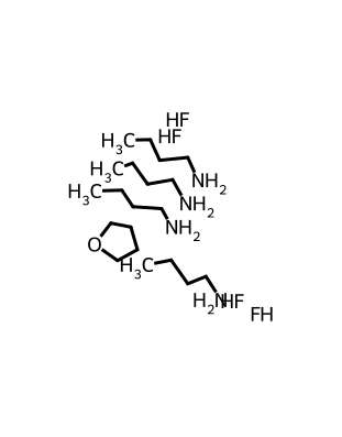 C1CCOC1.CCCCN.CCCCN.CCCCN.CCCCN.F.F.F.F